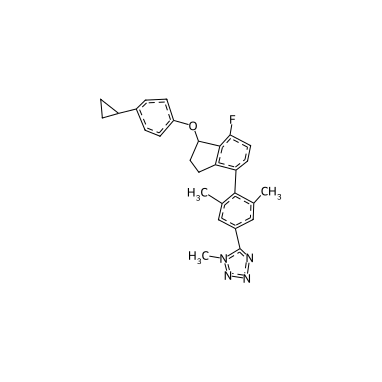 Cc1cc(-c2nnnn2C)cc(C)c1-c1ccc(F)c2c1CCC2Oc1ccc(C2CC2)cc1